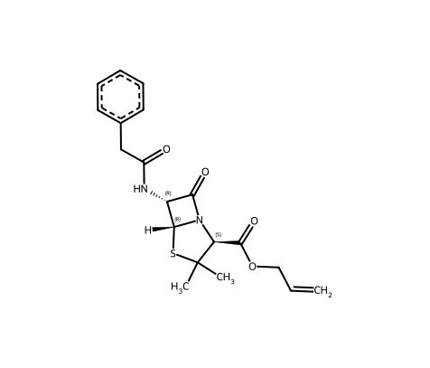 C=CCOC(=O)[C@@H]1N2C(=O)[C@@H](NC(=O)Cc3ccccc3)[C@H]2SC1(C)C